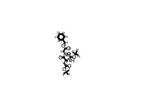 CC(C)(C)OC(=O)C[C@H](NC(=O)OC(C)(C)C)C(=O)NCC(=O)OCc1ccccc1